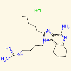 CCCCCc1nc2c(N)nc3c(c2n1CCCCNC(=N)N)CCCC3.Cl